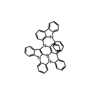 c1ccc(-n2c3ccccc3c3cccc(N4c5cccc6c5B5c7c4c4ccccc4n7-c4ccccc4N5c4ccccc4-6)c32)cc1